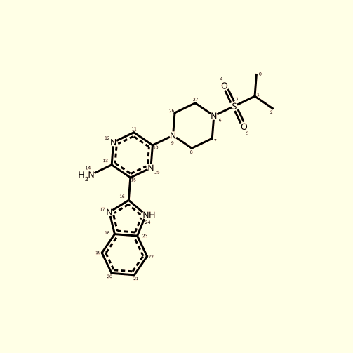 CC(C)S(=O)(=O)N1CCN(c2cnc(N)c(-c3nc4ccccc4[nH]3)n2)CC1